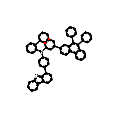 c1ccc(-c2ccccc2N(c2ccc(-c3cccc4c3oc3ccccc34)cc2)c2cccc(-c3ccc4c(c3)c(-c3ccccc3)c(-c3ccccc3)c3ccccc34)c2)cc1